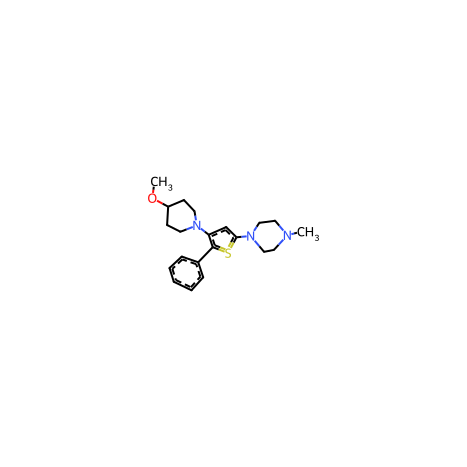 COC1CCN(c2cc(N3CCN(C)CC3)sc2-c2ccccc2)CC1